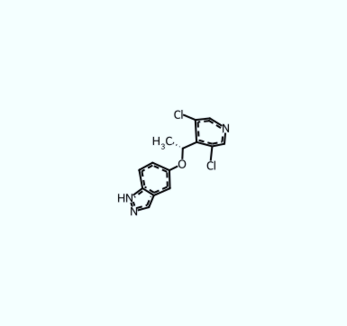 C[C@@H](Oc1ccc2[nH]ncc2c1)c1c(Cl)cncc1Cl